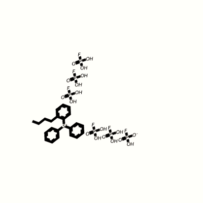 CCCCc1ccccc1[S+](c1ccccc1)c1ccccc1.O=P(O)(O)F.O=P(O)(O)F.O=P(O)(O)F.O=P(O)(O)F.O=P(O)(O)F.O=P([O-])(O)F